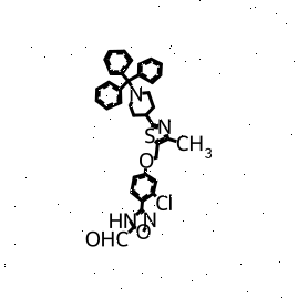 Cc1nc(C2CCN(C(c3ccccc3)(c3ccccc3)c3ccccc3)CC2)sc1COc1ccc(C2=NOC(C=O)N2)c(Cl)c1